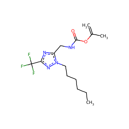 C=C(C)OC(=O)NCc1nc(C(F)(F)F)nn1CCCCCC